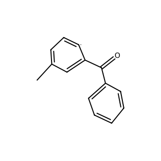 Cc1cc[c]c(C(=O)c2ccccc2)c1